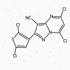 N#Cc1c(-c2cc(Cl)sc2Cl)nn2c(Cl)cc(Cl)nc12